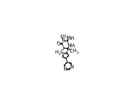 CC1C(=O)N(C)C(=N)N[C@]1(C)c1cc(-c2cncnc2)cs1